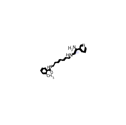 Cc1ccccc1C(=O)NCCCCCCCN/C=C(\N)c1cccnc1